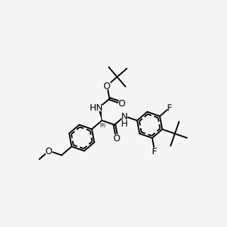 COCc1ccc([C@@H](NC(=O)OC(C)(C)C)C(=O)Nc2cc(F)c(C(C)(C)C)c(F)c2)cc1